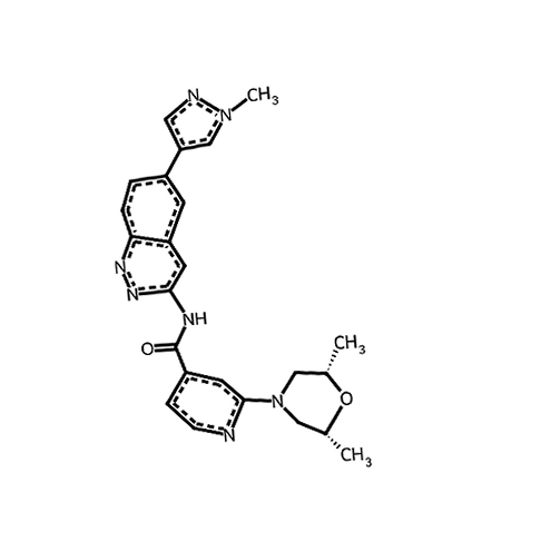 C[C@@H]1CN(c2cc(C(=O)Nc3cc4cc(-c5cnn(C)c5)ccc4nn3)ccn2)C[C@H](C)O1